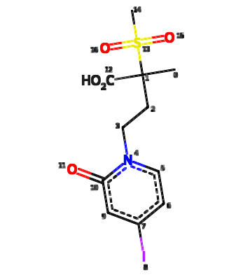 CC(CCn1ccc(I)cc1=O)(C(=O)O)S(C)(=O)=O